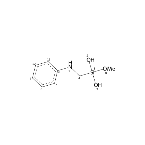 CO[Si](O)(O)CNc1ccccc1